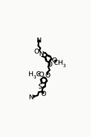 COc1cc2c(cc1OCCCOc1cc3cc(C(=O)CCC#N)sc3cc1OC)CN(C(=O)CCC#N)C2